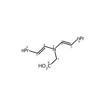 CCC/C=C/N(/C=C/CCC)CC(=O)O